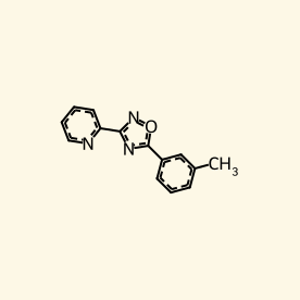 Cc1cccc(-c2nc(-c3ccccn3)no2)c1